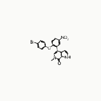 Cn1cc(-c2cc([N+](=O)[O-])ccc2Oc2ccc(Br)cc2)c2cc[nH]c2c1=O